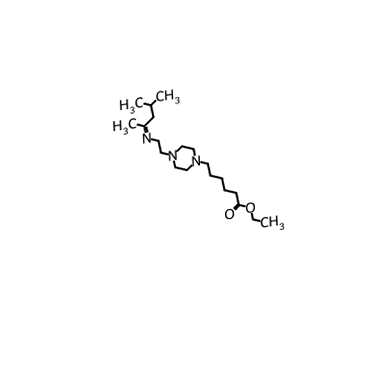 CCOC(=O)CCCCCN1CCN(CCN=C(C)CC(C)C)CC1